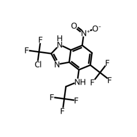 O=[N+]([O-])c1cc(C(F)(F)F)c(NCC(F)(F)F)c2nc(C(F)(F)Cl)[nH]c12